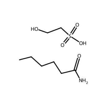 CCCCCC(N)=O.O=S(=O)(O)CCO